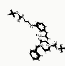 CC(C)(C)OC(=O)NCCNc1cccc(C[C@H](N)C[C@H]2C(=O)N(Cc3ccccc3)CCN2C(=O)OC(C)(C)C)c1